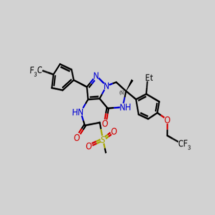 CCc1cc(OCC(F)(F)F)ccc1[C@@]1(C)Cn2nc(-c3ccc(C(F)(F)F)cc3)c(NC(=O)CS(C)(=O)=O)c2C(=O)N1